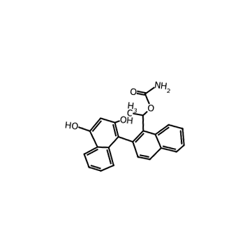 CC(OC(N)=O)c1c(-c2c(O)cc(O)c3ccccc23)ccc2ccccc12